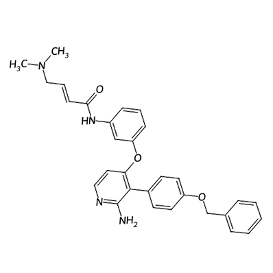 CN(C)CC=CC(=O)Nc1cccc(Oc2ccnc(N)c2-c2ccc(OCc3ccccc3)cc2)c1